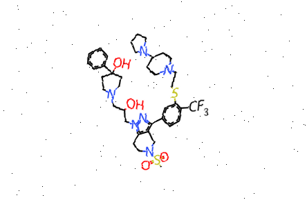 CS(=O)(=O)N1CCc2c(c(-c3ccc(C(F)(F)F)c(SCCN4CCC(N5CCCC5)CC4)c3)nn2CC(O)CN2CCC(O)(c3ccccc3)CC2)C1